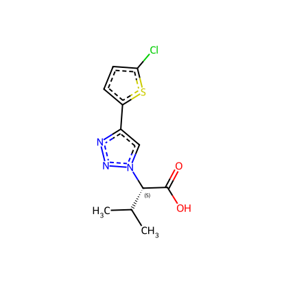 CC(C)[C@@H](C(=O)O)n1cc(-c2ccc(Cl)s2)nn1